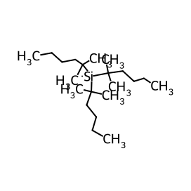 CCCCC(C)(C)[Si](C(C)(C)CCCC)C(C)(C)CCCC